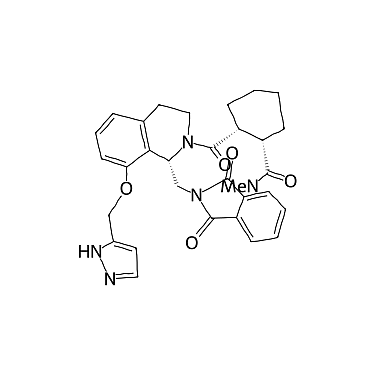 CNC(=O)[C@H]1CCCC[C@H]1C(=O)N1CCc2cccc(OCc3ccn[nH]3)c2[C@H]1CN1C(=O)c2ccccc2C1=O